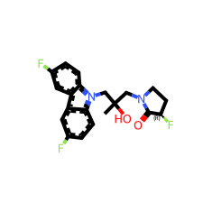 CC(O)(CN1CC[C@@H](F)C1=O)Cn1c2ccc(F)cc2c2cc(F)ccc21